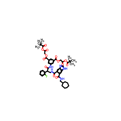 CC(C)(C)C(=O)OC(=O)COC(=O)c1cc(NC(=O)C(CNC(=O)c2cc3nc[nH]c3cc2C(=O)NCC2CCCCCC2)c2ccccc2F)cc(C(=O)OCC(=O)OC(=O)C(C)(C)C)c1